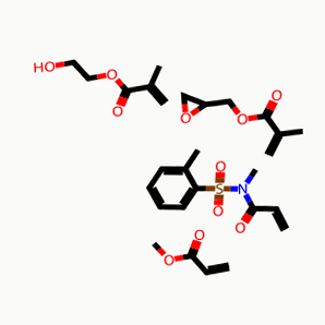 C=C(C)C(=O)OCC1CO1.C=C(C)C(=O)OCCO.C=CC(=O)N(C)S(=O)(=O)c1ccccc1C.C=CC(=O)OC